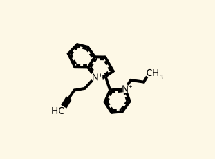 C#CCC[n+]1c(-c2cccc[n+]2CCC)ccc2ccccc21